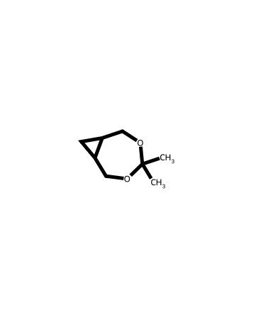 CC1(C)OCC2CC2CO1